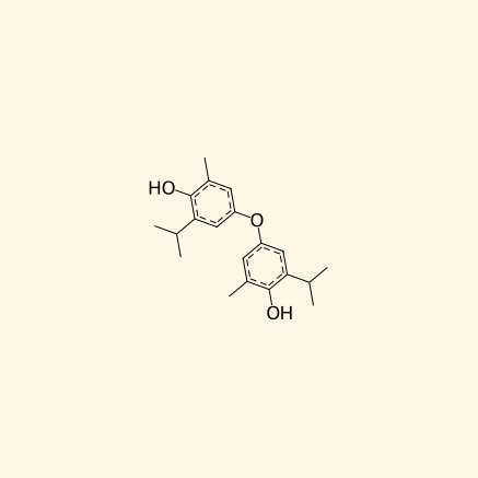 Cc1cc(Oc2cc(C)c(O)c(C(C)C)c2)cc(C(C)C)c1O